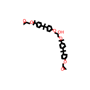 CC(C)(OCC(O)COc1ccc(C(C)(C)c2ccc(C(C)(C)OCC3CO3)cc2)cc1)c1ccc(C(C)(C)c2ccc(OCC3CO3)cc2)cc1